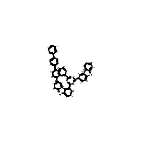 c1ccc(-c2ccc(-c3ccc(-c4ccc5oc6cccc(-c7nc(-c8ccccc8)nc(-c8ccc9oc%10ccccc%10c9c8)n7)c6c5c4)cc3)cc2)cc1